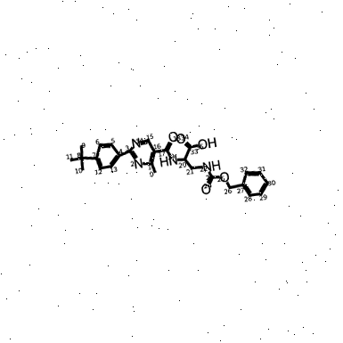 Cc1nc(-c2ccc(C(C)(C)C)cc2)ncc1C(=O)NC(CNC(=O)OCc1ccccc1)C(=O)O